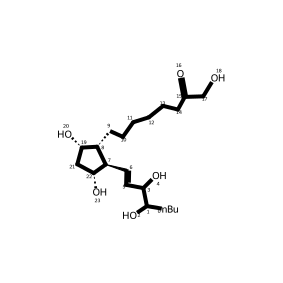 CCCCC(O)C(O)/C=C/[C@@H]1[C@@H](CCCCCCC(=O)CO)[C@@H](O)C[C@H]1O